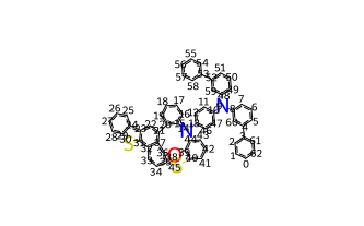 c1ccc(-c2cccc(N(c3ccc(N4c5ccccc5-c5cc6c7ccccc7sc6c6ccc7c(c56)Oc5c(cccc54)S7)cc3)c3cccc(-c4ccccc4)c3)c2)cc1